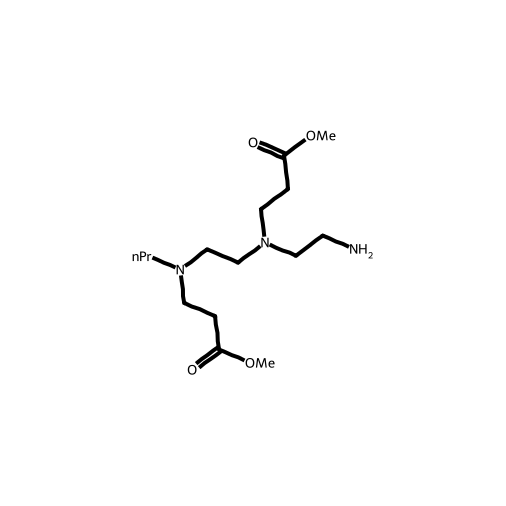 CCCN(CCC(=O)OC)CCN(CCN)CCC(=O)OC